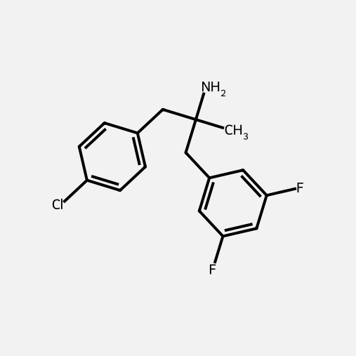 CC(N)(Cc1ccc(Cl)cc1)Cc1cc(F)cc(F)c1